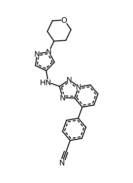 N#Cc1ccc(-c2cccn3nc(Nc4cnn(C5CCOCC5)c4)nc23)cc1